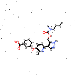 CCCCN(C)C(=O)OCc1c(-c2ccc(O[C@H]3CCC[C@H](C(=O)O)C3)c(C)n2)cnn1C